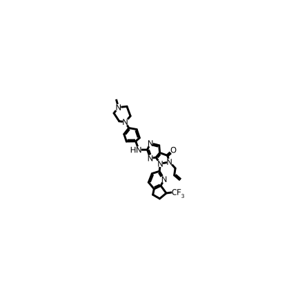 C=CCn1c(=O)c2cnc(Nc3ccc(N4CCN(C)CC4)cc3)nc2n1-c1ccc2c(n1)C(C(F)(F)F)CC2